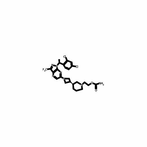 CC(c1ccc(Cl)cc1Cl)n1nc(C(F)(F)F)c2ncc(N3CC([C@@H]4CCCN(CCOC(N)=O)C4)C3)nc21